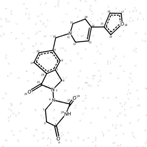 O=C1CCN(N2Cc3cc(CN4CC=C(c5ccoc5)CC4)ccc3C2=O)C(=O)N1